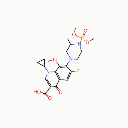 COc1c(N2CCN(P(=O)(OC)OC)C(C)C2)c(F)cc2c(=O)c(C(=O)O)cn(C3CC3)c12